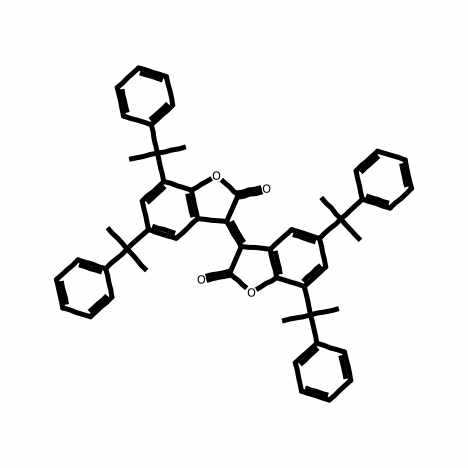 CC(C)(c1ccccc1)c1cc2c(c(C(C)(C)c3ccccc3)c1)OC(=O)C2=C1C(=O)Oc2c1cc(C(C)(C)c1ccccc1)cc2C(C)(C)c1ccccc1